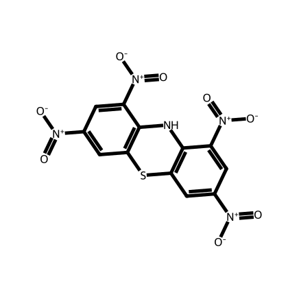 O=[N+]([O-])c1cc2c(c([N+](=O)[O-])c1)Nc1c(cc([N+](=O)[O-])cc1[N+](=O)[O-])S2